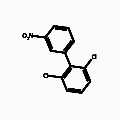 O=[N+]([O-])c1cccc(-c2c(Cl)cccc2Cl)c1